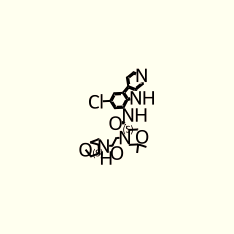 CC1(C)CN(CC(=O)N2CC3C[C@H]2CO3)[C@H](C(=O)Nc2cc(Cl)cc3c2[nH]c2cnccc23)CO1